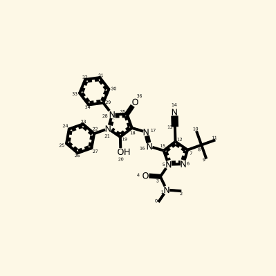 CN(C)C(=O)n1nc(C(C)(C)C)c(C#N)c1N=Nc1c(O)n(-c2ccccc2)n(-c2ccccc2)c1=O